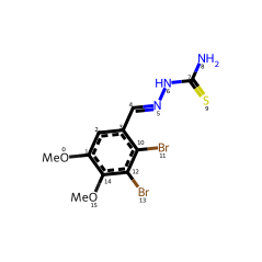 COc1cc(C=NNC(N)=S)c(Br)c(Br)c1OC